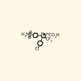 NS(=O)(=O)c1ccc(-c2nn(CC(=O)O)c(C(F)(F)F)c2-c2ccc(Cl)cc2)cc1